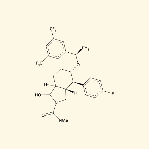 CNC(=O)N1C[C@H]2[C@H](c3ccc(F)cc3)[C@@H](O[C@H](C)c3cc(C(F)(F)F)cc(C(F)(F)F)c3)CC[C@@H]2C1O